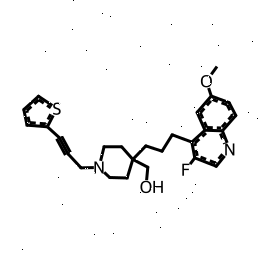 COc1ccc2ncc(F)c(CCCC3(CO)CCN(CC#Cc4cccs4)CC3)c2c1